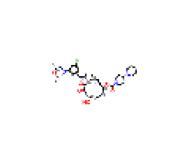 C/C(=C\c1cc(F)cc(N2C[C@@H](C)O[C@@H](C)C2)c1)[C@H]1C(=O)C(=O)C[C@@H](O)CC[C@@H](C)[C@@H](OC(=O)N2CCC(N3CCCCC3)CC2)/C=C/[C@@H]1C